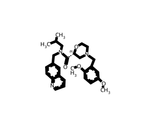 COc1ccc(OC)c(CN2CCO[C@@H](C(=O)N(Cc3ccc4ncccc4c3)CC(C)C)C2)c1